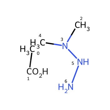 CC(=O)O.CN(C)NN